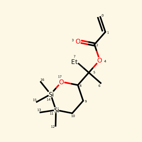 C=CC(=O)OC(C)(CC)C1CC[Si](C)(C)[Si](C)(C)O1